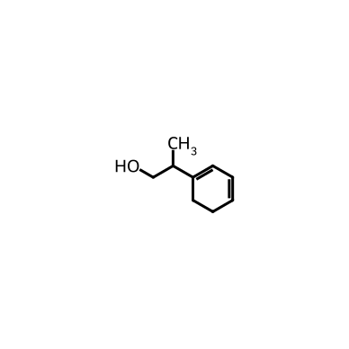 CC(CO)C1=CC=CCC1